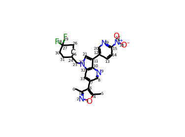 Cc1noc(C)c1-c1cnc2c(-c3ccc([N+](=O)[O-])nc3)cn(CC3CCC(F)(F)CC3)c2c1